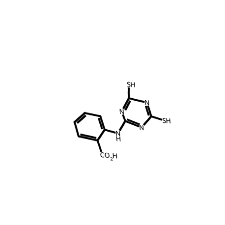 O=C(O)c1ccccc1Nc1nc(S)nc(S)n1